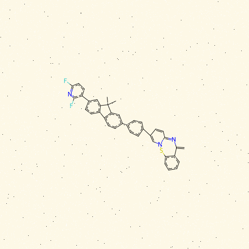 C=C1N=C2C=CC(c3ccc(-c4ccc5c(c4)C(C)(C)c4cc(-c6ccc(F)nc6F)ccc4-5)cc3)=CN2Sc2ccccc21